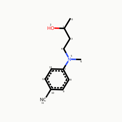 CC(O)CCN(C)c1ccc(C#N)cc1